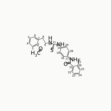 COc1ccccc1CCNC(=S)Nc1ccc(NC(=O)c2ccccc2F)cc1